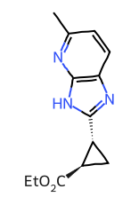 CCOC(=O)[C@@H]1C[C@H]1c1nc2ccc(C)nc2[nH]1